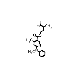 CC(CCOC(=O)c1cnc(N(C)c2ccccc2)nc1C)=C(F)F